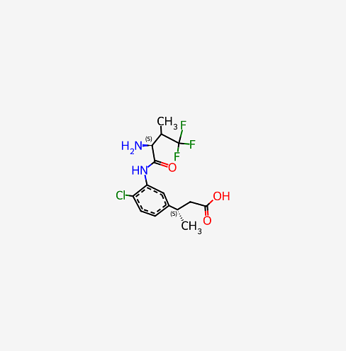 CC([C@H](N)C(=O)Nc1cc([C@@H](C)CC(=O)O)ccc1Cl)C(F)(F)F